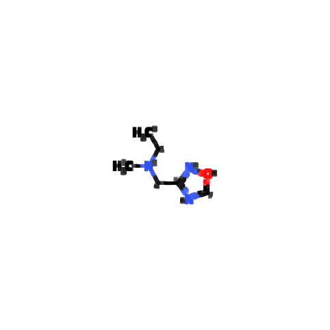 CCN(C)Cc1ncon1